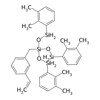 C=Cc1cccc(C[Si](O[SiH2]c2cccc(C)c2C)(O[SiH2]c2cccc(C)c2C)O[SiH2]c2cccc(C)c2C)c1